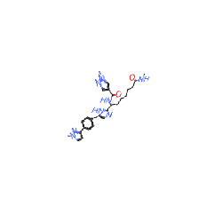 CNC(=O)CCCCCC(NC(=O)c1cnn(C)c1)c1ncc(-c2ccc(-c3ccn(C)n3)cc2)[nH]1